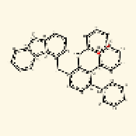 c1ccc(Oc2c(Cc3cccc4oc5ccccc5c34)ccc(-c3ccccc3)c2-c2ccccc2)cc1